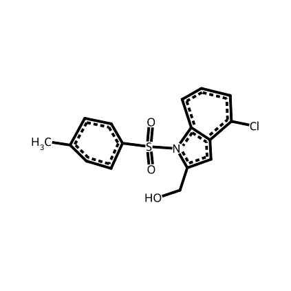 Cc1ccc(S(=O)(=O)n2c(CO)cc3c(Cl)cccc32)cc1